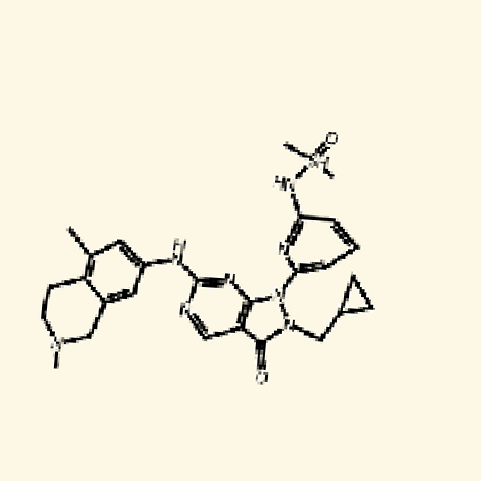 Cc1cc(Nc2ncc3c(=O)n(CC4CC4)n(-c4cccc(N[SH](C)(C)=O)n4)c3n2)cc2c1CCN(C)C2